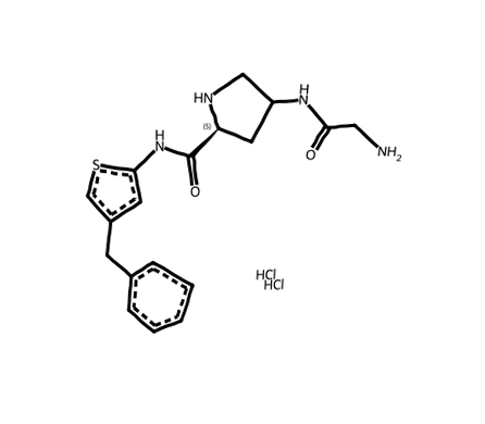 Cl.Cl.NCC(=O)NC1CN[C@H](C(=O)Nc2cc(Cc3ccccc3)cs2)C1